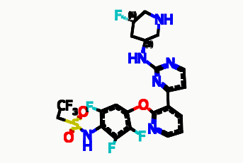 O=S(=O)(CC(F)(F)F)Nc1c(F)cc(Oc2ncccc2-c2ccnc(N[C@@H]3CNC[C@@H](F)C3)n2)c(F)c1F